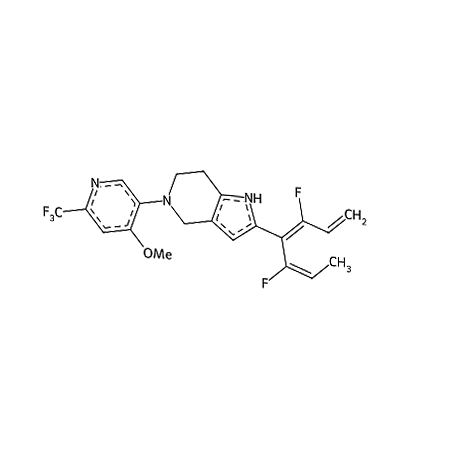 C=C/C(F)=C(\C(F)=C/C)c1cc2c([nH]1)CCN(c1cnc(C(F)(F)F)cc1OC)C2